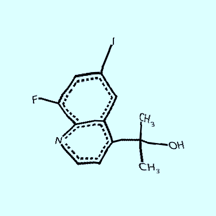 CC(C)(O)c1ccnc2c(F)cc(I)cc12